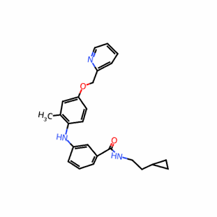 Cc1cc(OCc2ccccn2)ccc1Nc1cccc(C(=O)NCCC2CC2)c1